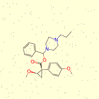 CCCN1CCN(C(OC(=O)[C@@]2(c3ccc(OC)cc3)C[C@H]2OC)c2ccccc2)CC1